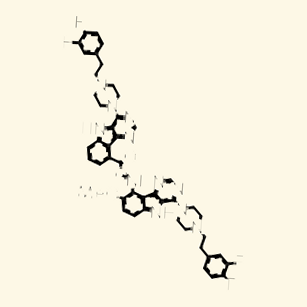 COc1ccc2[nH]c3c(N4CCN(CCc5ccc(F)c(F)c5)CC4)ncnc3c2c1NOC(=O)c1cccc2[nH]c3c(N4CCN(CCc5ccc(F)c(F)c5)CC4)ncnc3c12